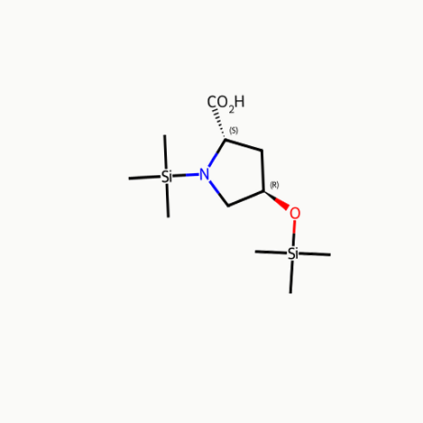 C[Si](C)(C)O[C@@H]1C[C@@H](C(=O)O)N([Si](C)(C)C)C1